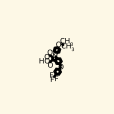 CC(C)Oc1ccc(-n2c(C(=O)O)c(C(=O)O)c3cc(Oc4ccc(C(F)(F)F)cc4)ccc32)cc1